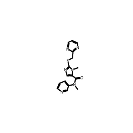 CN(C(=O)c1cnc(SCc2ncccn2)n1C)c1cccnc1